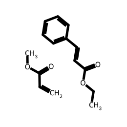 C=CC(=O)OC.CCOC(=O)C=Cc1ccccc1